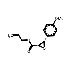 C=CCOC(=O)[C@@H]1O[C@H]1c1ccc(OC)cc1